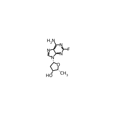 C[C@H]1O[C@@H](n2cnc3c(N)nc(F)nc32)C[C@@H]1O